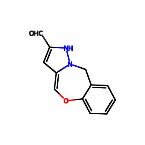 O=CC1=CC2=COc3ccccc3CN2N1